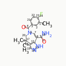 Cc1cc(C(=O)N2C=C(C(N)=O)c3[nH]ncc3C(C)(C)C2)ccc1F